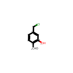 O=Cc1ccc(CCl)cc1O